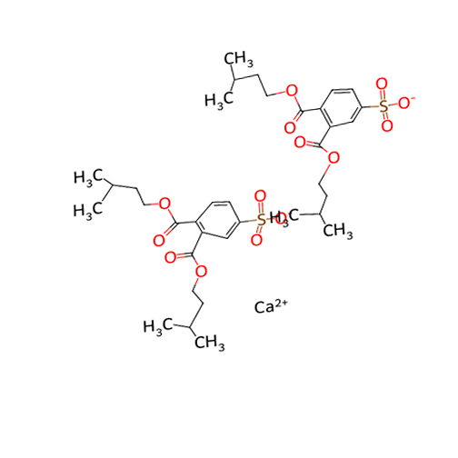 CC(C)CCOC(=O)c1ccc(S(=O)(=O)[O-])cc1C(=O)OCCC(C)C.CC(C)CCOC(=O)c1ccc(S(=O)(=O)[O-])cc1C(=O)OCCC(C)C.[Ca+2]